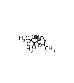 CC1COP(=O)(C(=O)C(C)(C)C)O1